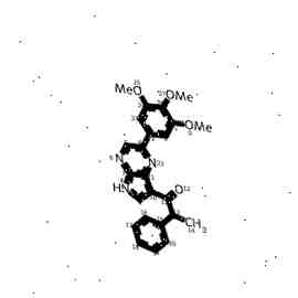 COc1cc(-c2cnc3[nH]cc(C(=O)C(C)c4ccccc4)c3n2)cc(OC)c1OC